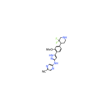 COc1cc(C2CCNCC2(F)F)ccc1-c1cc(Nc2cnc(C#N)cn2)n[nH]1